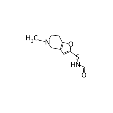 CCN1CCc2oc(SNC=O)cc2C1